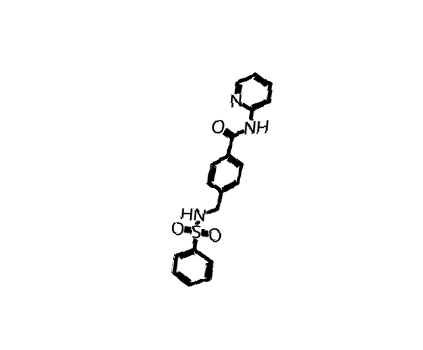 O=C(Nc1ccccn1)c1ccc(CNS(=O)(=O)c2ccccc2)cc1